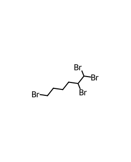 BrCCCCC(Br)C(Br)Br